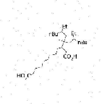 CCCCC(CC)CC(C)(CC(CC)CCCC)C(CCCCCCCCC(=O)O)CC(=O)O